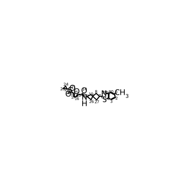 Cc1ccc2sc(C3CC4(CC(NC(=O)c5ccc(S(=O)(=O)C6CC6)o5)C4)C3)nc2c1